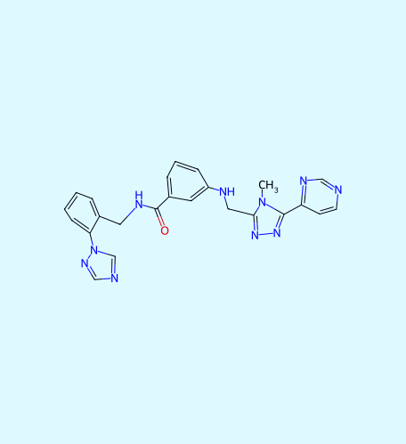 Cn1c(CNc2cccc(C(=O)NCc3ccccc3-n3cncn3)c2)nnc1-c1ccncn1